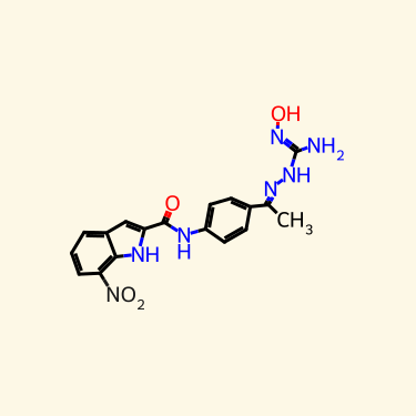 CC(=NNC(N)=NO)c1ccc(NC(=O)c2cc3cccc([N+](=O)[O-])c3[nH]2)cc1